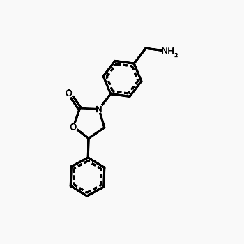 NCc1ccc(N2CC(c3ccccc3)OC2=O)cc1